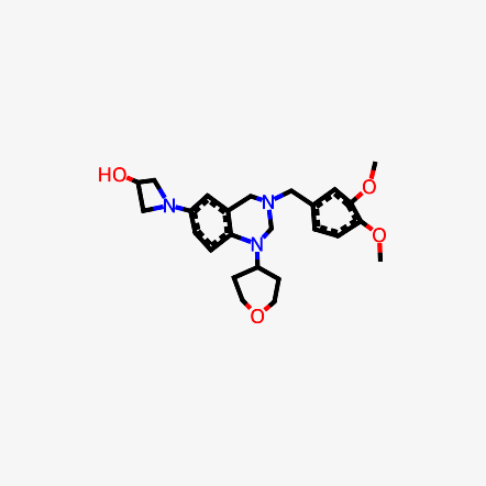 COc1ccc(CN2Cc3cc(N4CC(O)C4)ccc3N(C3CCOCC3)C2)cc1OC